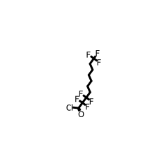 O=C(Cl)C(F)(F)C(F)(F)CCCCCCC(F)(F)F